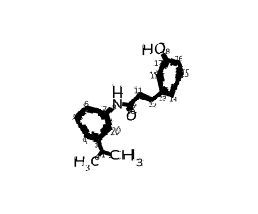 CC(C)c1cccc(NC(=O)C=Cc2cccc(O)c2)c1